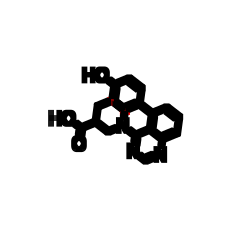 O=C(O)C1CCCN(c2ncnc3cccc(-c4ccc(O)cc4)c23)C1